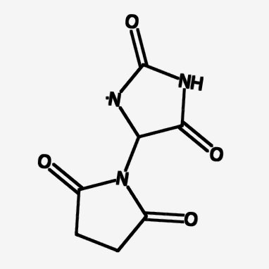 O=C1[N]C(N2C(=O)CCC2=O)C(=O)N1